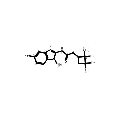 CC(C)(C)n1c(NC(=O)CC2CC(F)(F)C2(C)F)nc2cc(F)ccc21